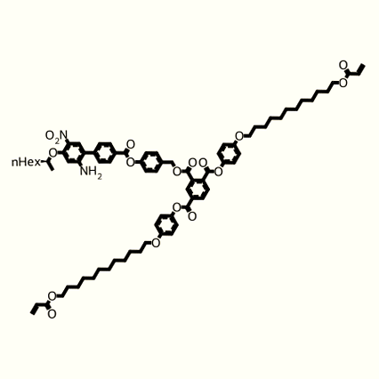 C=CC(=O)OCCCCCCCCCCCCOc1ccc(OC(=O)c2ccc(C(=O)Oc3ccc(OCCCCCCCCCCCCOC(=O)C=C)cc3)c(C(=O)OCc3ccc(OC(=O)c4ccc(-c5cc([N+](=O)[O-])c(O[C@@H](C)CCCCCC)cc5N)cc4)cc3)c2)cc1